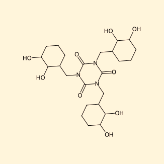 O=c1n(CC2CCCC(O)C2O)c(=O)n(CC2CCCC(O)C2O)c(=O)n1CC1CCCC(O)C1O